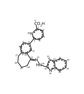 O=C(O)c1cccc(-c2ccc3c(c2)C(=NNc2nc4ccccc4s2)CCCC3)n1